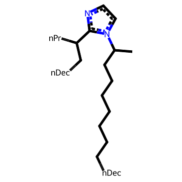 CCCCCCCCCCCCCCCCCC(C)n1ccnc1C(CCC)CCCCCCCCCCC